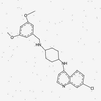 COc1cc(CNC2CCC(Nc3ccnc4cc(Cl)ccc34)CC2)cc(OC)c1